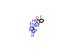 CC[C@H](Nc1ncnc2[nH]cnc12)c1nc2cccc(F)c2c(=O)[nH]1